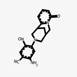 N#Cc1cc(N=O)c(N2CC3CC(C2)c2cccc(=O)n2C3)cc1N